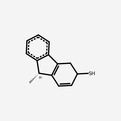 C[C@H]1C2=C(CC(S)C=C2)c2ccccc21